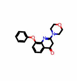 O=C1CC(N2CCOCC2)=Nc2c(Oc3ccccc3)cccc21